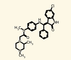 CC1CN(C)CCN1CC(=O)N(C)c1ccc(NC(=C2C(=O)Nc3cc(Cl)ccc32)c2ccccc2)cc1